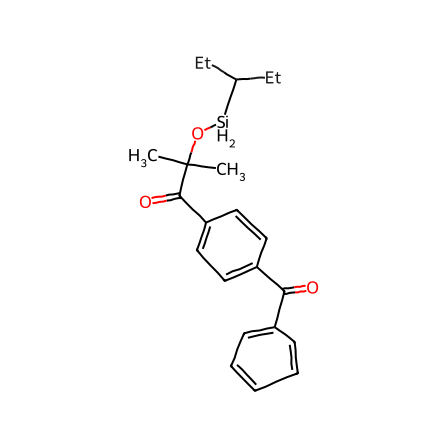 CCC(CC)[SiH2]OC(C)(C)C(=O)c1ccc(C(=O)c2ccccc2)cc1